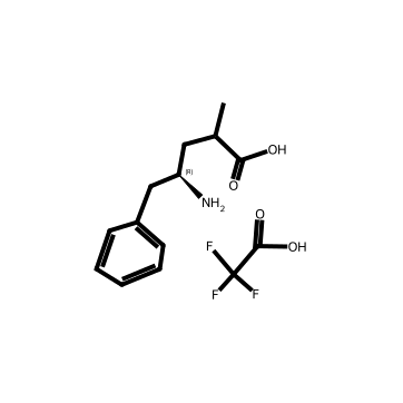 CC(C[C@@H](N)Cc1ccccc1)C(=O)O.O=C(O)C(F)(F)F